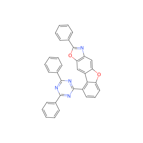 c1ccc(-c2nc(-c3ccccc3)nc(-c3cccc4oc5cc6nc(-c7ccccc7)oc6cc5c34)n2)cc1